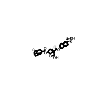 O=C1C2CC3CC1CC(C(=O)OC1C4CC5C1OC(O)C5C4C(=O)Oc1ccc4cc(S(=O)(=O)O)ccc4c1)(C3)C2